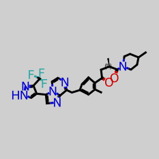 Cc1cc(Cc2nccn3c(-c4c[nH]nc4C(F)(F)F)cnc23)ccc1C(=O)C[C@@H](C)C(=O)N1CCC(C)CC1